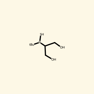 CC(C)(C)N(S)C(CO)CO